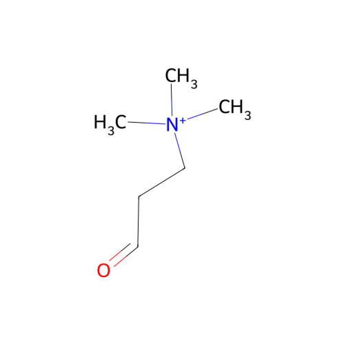 C[N+](C)(C)CCC=O